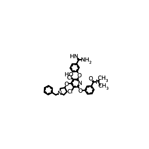 CN(C)C(=O)c1cccc(Oc2nc(Oc3cc(C(=N)N)ccc3O)c(Cl)c(OC3CCN(Cc4ccccc4)C3)c2Cl)c1